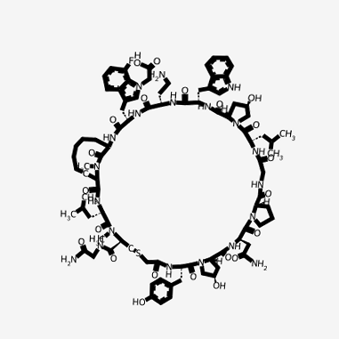 CC(C)C[C@@H]1NC(=O)C2CCCCCCC(NC(=O)[C@H](Cc3cn(CC(=O)O)c4c(F)cccc34)NC(=O)[C@H](CCN)NC(=O)[C@H](Cc3c[nH]c4ccccc34)NC(=O)[C@@H]3C[C@@H](O)CN3C(=O)[C@H](CC(C)C)NC(=O)CNC(=O)[C@H]3CCCN3C(=O)[C@@H](CC(N)=O)NC(=O)[C@@H]3C[C@H](O)CN3C(=O)[C@H](Cc3ccc(O)cc3)NC(=O)CSC[C@@H](C(=O)NCC(N)=O)N(C)C1=O)C(=O)N2C